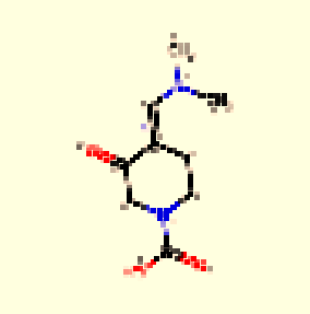 CN(C)/C=C1\CCN(C(=O)O)CC1=O